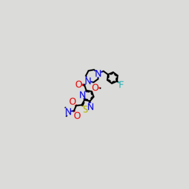 COc1cc2nsc(C(=O)C(=O)N(C)C)c2nc1C(=O)N1CCCN(Cc2ccc(F)cc2)CC1